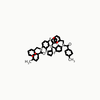 Cc1ccc(C(=O)N(Cc2ccccc2)c2ccc(F)[c]([Ti]([C]3=CC=CC3)([C]3=CC=CC3)[c]3c(F)ccc(N(Cc4ccccc4)C(=O)c4ccc(C)cc4)c3F)c2F)cc1